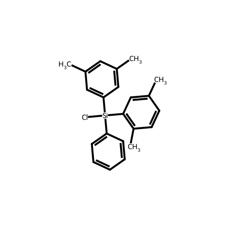 Cc1cc(C)cc([Si](Cl)(c2ccccc2)c2cc(C)ccc2C)c1